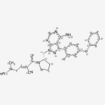 CCCN(C)C/C=C(\C#N)C(=O)N1CCC[C@H]1Cn1nc(-c2ccc(Oc3ccccc3)cc2F)c2c(N)ncnc21